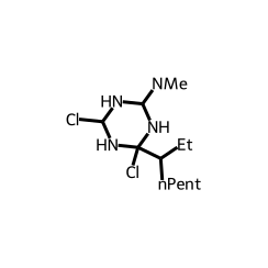 CCCCCC(CC)C1(Cl)NC(Cl)NC(NC)N1